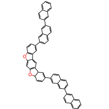 C1=CC2Oc3cc4oc5ccc(-c6ccc7ccc(-c8ccc9ccccc9c8)cc7c6)cc5c4cc3C2C=C1c1ccc2ccc(-c3ccc4ccccc4c3)cc2c1